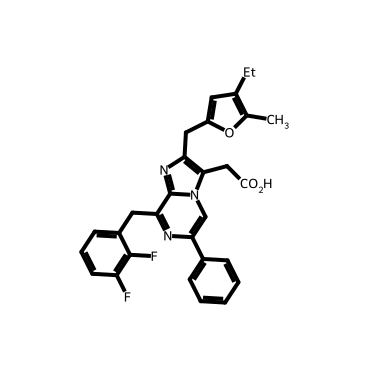 CCc1cc(Cc2nc3c(Cc4cccc(F)c4F)nc(-c4ccccc4)cn3c2CC(=O)O)oc1C